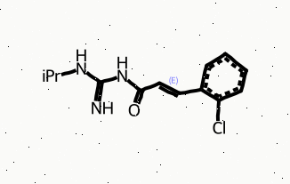 CC(C)NC(=N)NC(=O)/C=C/c1ccccc1Cl